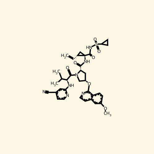 C=C[C@@H]1C[C@]1(NC(=O)[C@@H]1C[C@@H](Oc2nccc3cc(OC)ccc23)CN1C(=O)[C@@H](Nc1cc(C#N)ccn1)C(C)C)C(=O)NS(=O)(=O)C1CC1